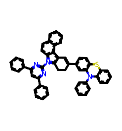 C1=C(c2ccc3c(c2)N(c2ccccc2)c2ccccc2S3)CCc2c1c1c3ccccc3ccc1n2-c1nc(-c2ccccc2)cc(-c2ccccc2)n1